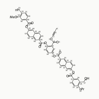 CC#COC(=O)c1cc(OC(=O)c2ccc3cc(OC(=O)c4ccc(CCC)c(CO)c4)ccc3c2)ccc1OC(=O)c1ccc2cc(OC(=O)c3ccc(CCC)c(OC)c3)ccc2c1